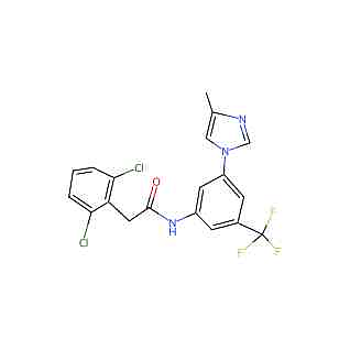 Cc1cn(-c2cc(NC(=O)Cc3c(Cl)cccc3Cl)cc(C(F)(F)F)c2)cn1